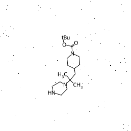 CC(C)(C)OC(=O)N1CCC(CC(C)(C)N2CCNCC2)CC1